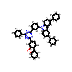 c1ccc(-c2ccc3c(c2)c2cc(-c4ccccc4)ccc2n3-c2cccc(-c3nc(-c4ccccc4)nc(-c4ccc5c(c4)oc4ccccc45)n3)c2)cc1